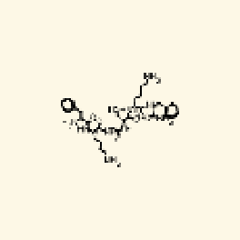 CN(C(=O)CNC(=O)[C@H](CCCCN)NC(=O)[C@@H](N)Cc1ccccc1)[C@@H](CS)C(=O)N[C@@H](CCCCN)C(=O)N[C@@H](Cc1ccccc1)C(N)=O